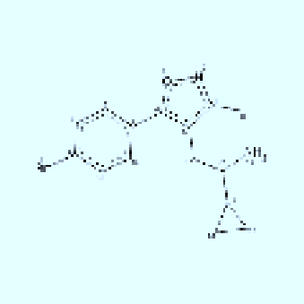 Cc1noc(-c2ccc(Br)cc2)c1CC(N)C1CC1